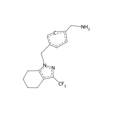 NCc1ccc(Cn2nc(C(F)(F)F)c3c2CCCC3)cc1